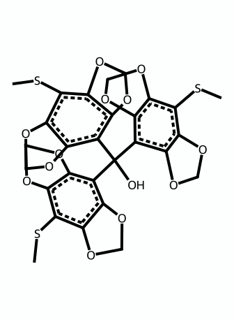 CSc1c2c(c(C(O)(c3c4c(c(SC)c5c3OCO5)OCO4)c3c4c(c(SC)c5c3OCO5)OCO4)c3c1OCO3)OCO2